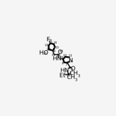 CCC(C)(C)NC(=O)c1cc(NC(=O)Cc2ccc(F)cc2O)ccn1